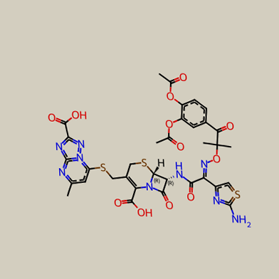 CC(=O)Oc1ccc(C(=O)C(C)(C)ON=C(C(=O)N[C@@H]2C(=O)N3C(C(=O)O)=C(CSc4cc(C)nc5nc(C(=O)O)nn45)CS[C@H]23)c2csc(N)n2)cc1OC(C)=O